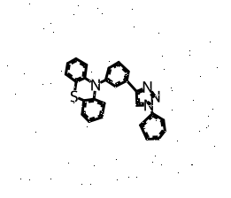 c1ccc(-n2cc(-c3cccc(N4c5ccccc5Sc5ccccc54)c3)nn2)cc1